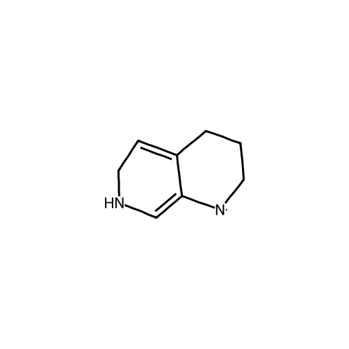 C1=C2CCC[N]C2=CNC1